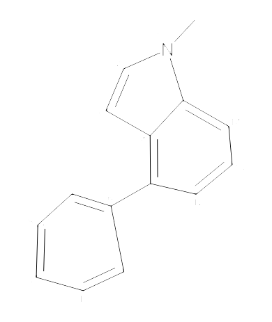 Cn1ccc2c(-c3c[c]ccc3)cccc21